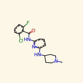 CN1CCC(Nc2cccc(NC(=O)c3c(F)cccc3Cl)n2)CC1